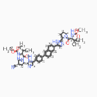 COC(=O)N[C@H](C(=O)N1CCCC1c1ncc(-c2ccc3cc(-c4ccc(-c5cnc([C@@H]6C[C@H](C#N)CN6C(=O)[C@@H](NC(=O)OC)C(C)C)[nH]5)cc4)ccc3c2)[nH]1)C(C)C